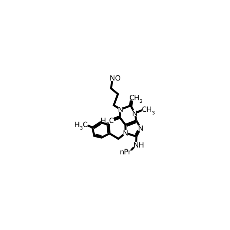 C=C1c2c(nc(NCCC)n2Cc2ccc(C)cc2)N(C)C(=C)N1CCCN=O